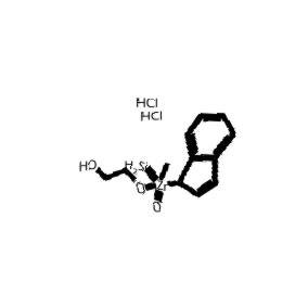 Cl.Cl.[CH3][Zr](=[O])(=[SiH2])([O]CCO)[CH]1C=Cc2ccccc21